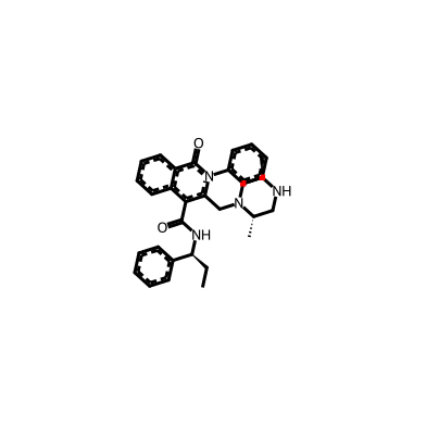 CC[C@H](NC(=O)c1c(CN2C[C@@H](C)NC[C@@H]2C)n(-c2ccccc2)c(=O)c2ccccc12)c1ccccc1